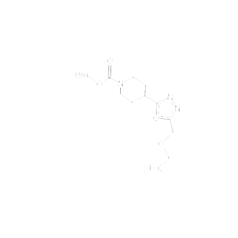 CC(C)(C)OC(=O)N1CCC(c2nnc(COCC(F)(F)F)o2)CC1